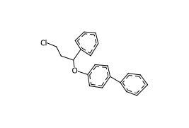 ClCCC(Oc1ccc(-c2ccccc2)cc1)c1ccccc1